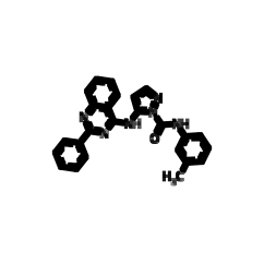 Cc1cccc(NC(=O)n2nccc2Nc2nc(-c3ccccc3)nc3ccccc23)c1